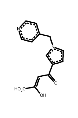 O=C(O)/C(O)=C/C(=O)c1ccn(Cc2ccncc2)c1